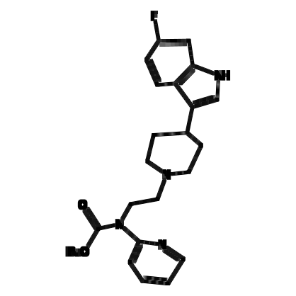 CC(C)COC(=O)N(CCN1CCC(c2c[nH]c3cc(F)ccc23)CC1)c1ccccn1